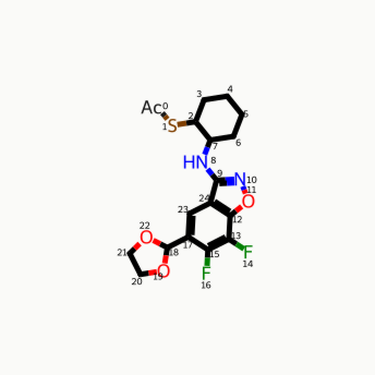 CC(=O)SC1CCCCC1Nc1noc2c(F)c(F)c(C3OCCO3)cc12